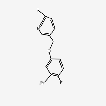 CC(C)c1cc(OCc2ccc(I)nc2)ccc1F